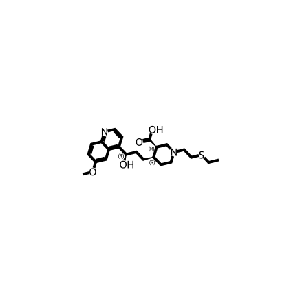 CCSCCN1CC[C@@H](CC[C@@H](O)c2ccnc3ccc(OC)cc23)[C@@H](C(=O)O)C1